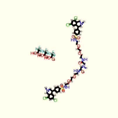 CN(CC(=O)NCCOCCOCCNS(=O)(=O)c1ccc(C2CN(C)Cc3c(Cl)cc(Cl)cc32)cc1)CC(=O)NCCOCCOCCNS(=O)(=O)c1ccc(C2CN(C)Cc3c(Cl)cc(Cl)cc32)cc1.O=C(O)C(F)(F)F.O=C(O)C(F)(F)F.O=C(O)C(F)(F)F